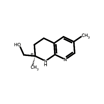 Cc1cnc2c(c1)CC[C@](C)(CO)N2